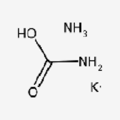 N.NC(=O)O.[K]